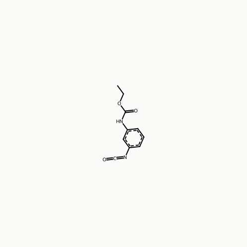 CCOC(=O)Nc1cccc(N=C=O)c1